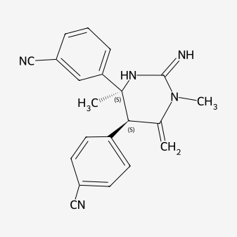 C=C1[C@@H](c2ccc(C#N)cc2)[C@@](C)(c2cccc(C#N)c2)NC(=N)N1C